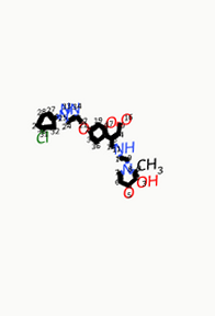 Cc1c(O)c(=O)ccn1CCNCc1cc(=O)oc2cc(OCc3cn(-c4cccc(Cl)c4)nn3)ccc12